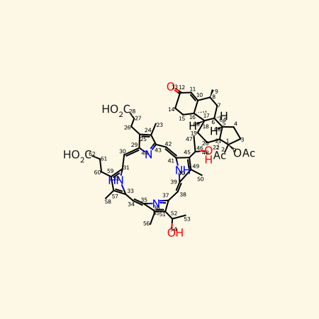 CC(=O)O[C@]1(C(C)=O)CC[C@H]2[C@@H]3C[C@H](C)C4=CC(=O)CC[C@]4(C)[C@H]3CC[C@@]21C.CC1=C(CCC(=O)O)c2cc3[nH]c(cc4nc(cc5[nH]c(cc1n2)c(C(C)O)c5C)C(C(C)O)=C4C)c(C)c3CCC(=O)O